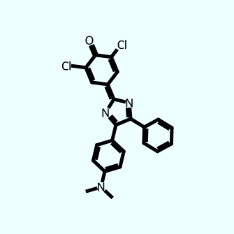 CN(C)c1ccc(C2=NC(=C3C=C(Cl)C(=O)C(Cl)=C3)N=C2c2ccccc2)cc1